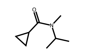 CC(C)N(C)C(=O)C1CC1